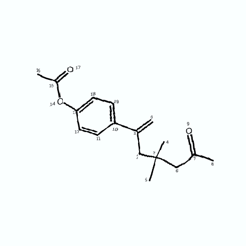 C=C(CC(C)(C)CC(C)=O)c1ccc(OC(C)=O)cc1